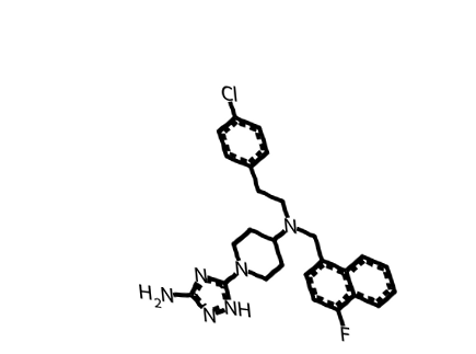 Nc1n[nH]c(N2CCC(N(CCc3ccc(Cl)cc3)Cc3ccc(F)c4ccccc34)CC2)n1